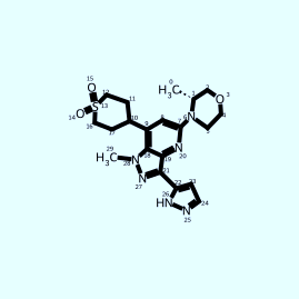 C[C@@H]1COCCN1c1cc(C2CCS(=O)(=O)CC2)c2c(n1)c(-c1ccn[nH]1)nn2C